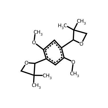 COc1cc(C2OCC2(C)C)c(OC)cc1C1OCC1(C)C